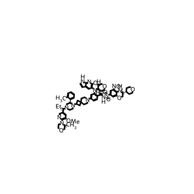 CC[C@@H](c1cnc(N2CCOC[C@@H]2C)c(OC)c1)N1CCN(C2CC3(CCN(c4ccc(C(=O)NS(=O)(=O)c5cc6c(c([N+](=O)[O-])c5)N[C@H](C5CCOCC5)CO6)c(N5c6cc7cc[nH]c7nc6O[C@H]6COCC[C@@H]65)c4)CC3)C2)[C@H](c2ccccc2C)C1